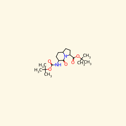 CC(C)(C)OC(=O)NC1CCC2CCC(C(=O)OC(C)(C)C)N2C1=O